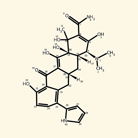 CN(C)[C@@H]1C(O)=C(C(N)=O)C(C)(O)[C@@]2(O)C(O)=C3C(=O)c4c(O)ccc(-c5ccc[nH]5)c4C[C@H]3C[C@@H]12